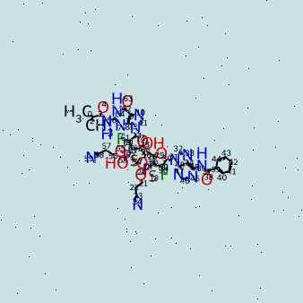 CC(C)C(=O)Nc1nc2c(ncn2C2OC(COP(=S)(OCCC#N)[C@@H]3C(CO)OC(n4cnc5c(NC(=O)c6ccccc6)ncnc54)[C@@H]3F)[C@@H](P(O)(=S)OCCC#N)[C@H]2F)c(=O)[nH]1